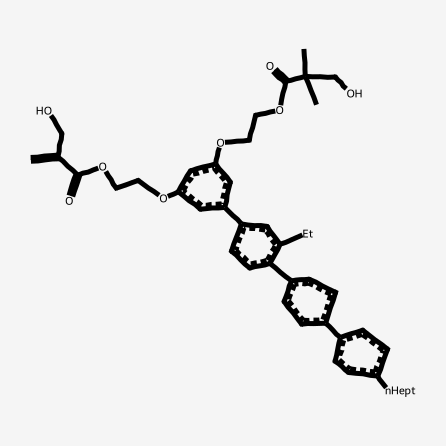 C=C(CO)C(=O)OCCOc1cc(OCCOC(=O)C(C)(C)CO)cc(-c2ccc(-c3ccc(-c4ccc(CCCCCCC)cc4)cc3)c(CC)c2)c1